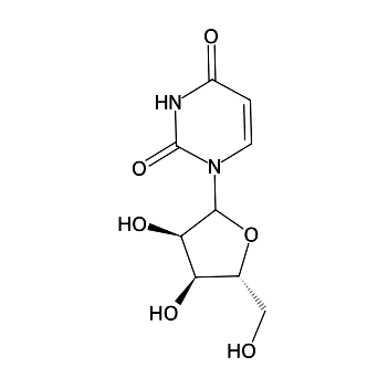 O=c1ccn(C2O[C@H](CO)[C@@H](O)[C@H]2O)c(=O)[nH]1